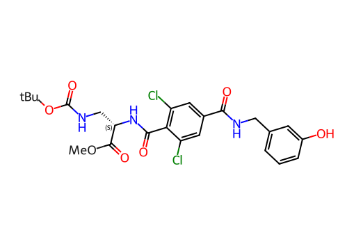 COC(=O)[C@H](CNC(=O)OC(C)(C)C)NC(=O)c1c(Cl)cc(C(=O)NCc2cccc(O)c2)cc1Cl